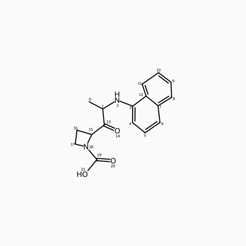 CC(Nc1cccc2ccccc12)C(=O)C1CCN1C(=O)O